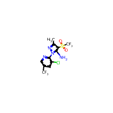 Cc1nn(-c2ncc(C(F)(F)F)cc2Cl)c(N)c1S(=O)(=O)C(F)(F)F